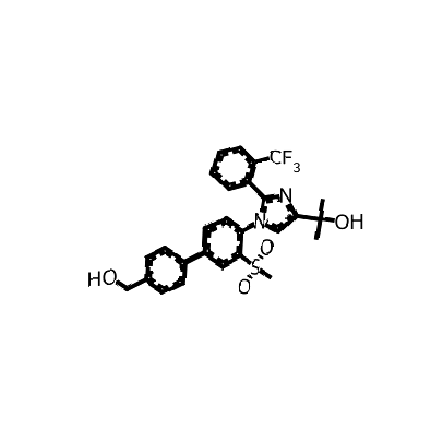 CC(C)(O)c1cn(-c2ccc(-c3ccc(CO)cc3)cc2S(C)(=O)=O)c(-c2ccccc2C(F)(F)F)n1